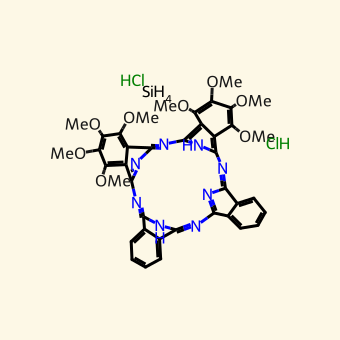 COc1c(OC)c(OC)c2c(c1OC)-c1nc-2nc2[nH]c(nc3nc(nc4[nH]c(n1)c1ccccc41)-c1ccccc1-3)c1c(OC)c(OC)c(OC)c(OC)c21.Cl.Cl.[SiH4]